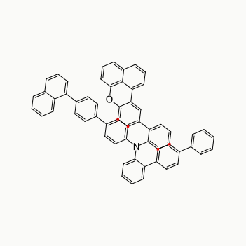 c1ccc(-c2ccc(-c3ccccc3N(c3ccc(-c4ccc(-c5cccc6ccccc56)cc4)cc3)c3ccccc3-c3ccc4c(c3)-c3cccc5cccc(c35)O4)cc2)cc1